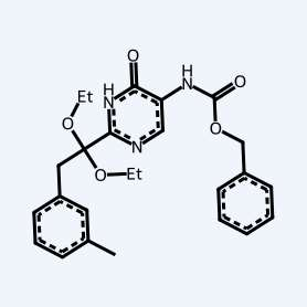 CCOC(Cc1cccc(C)c1)(OCC)c1ncc(NC(=O)OCc2ccccc2)c(=O)[nH]1